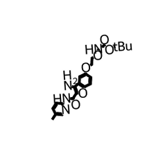 Cc1ccc(NC(=O)c2oc3ccc(OCCONC(=O)OC(C)(C)C)cc3c2N)nc1